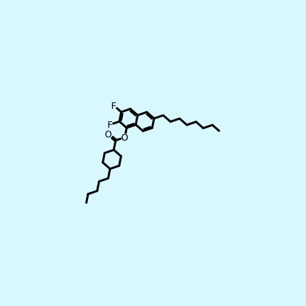 CCCCCCCCc1ccc2c(OC(=O)C3CCC(CCCCC)CC3)c(F)c(F)cc2c1